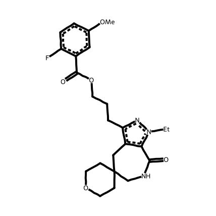 CCn1nc(CCCOC(=O)c2cc(OC)ccc2F)c2c1C(=O)NCC1(CCOCC1)C2